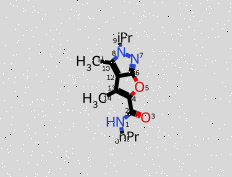 CCCNC(=O)c1oc2nn(C(C)C)c(C)c2c1C